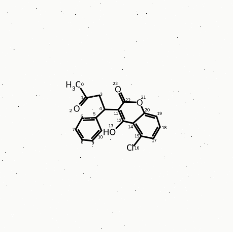 CC(=O)CC(c1ccccc1)c1c(O)c2c(Cl)cccc2oc1=O